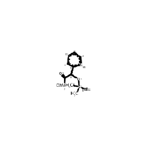 COC(=O)C(O[Si](C)(C)C(C)(C)C)c1ccccn1